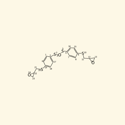 c1cc(SOSc2ccc(SCC3CO3)cc2)ccc1SCC1CO1